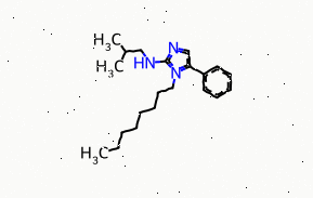 CCCCCCCCn1c(-c2ccccc2)cnc1NCC(C)C